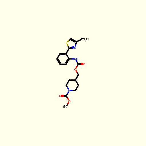 CCOC(=O)c1csc(-c2ccccc2NC(=O)OCC2CCN(C(=O)OC(C)(C)C)CC2)n1